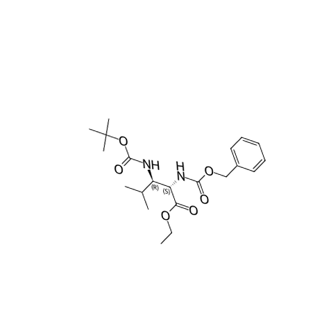 CCOC(=O)[C@@H](NC(=O)OCc1ccccc1)[C@H](NC(=O)OC(C)(C)C)C(C)C